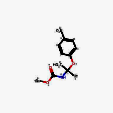 CC(C)[C@](NC(=O)OC(C)(C)C)(Oc1ccc([N+](=O)[O-])cc1)C(=O)O